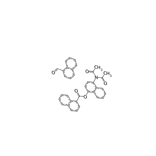 CC(=O)N(C(C)=O)c1ccc(OC(=O)c2cccc3ccccc23)c2ccccc12.O=Cc1cccc2ccccc12